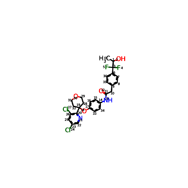 CC(O)C(F)(F)c1ccc(CC(=O)Nc2ccc(OC3(c4ncc(Cl)cc4Cl)CCOCC3)cc2)cc1